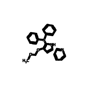 COCOc1cc[nH]c1N(c1ccccc1)c1ccccc1.c1ccncc1